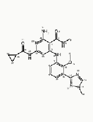 CNC(=O)c1c(Nc2cccc(-c3ncn(C)n3)c2OC)cc(NC(=O)C2CC2)nc1N